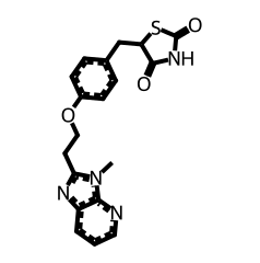 Cn1c(CCOc2ccc(CC3SC(=O)NC3=O)cc2)nc2cccnc21